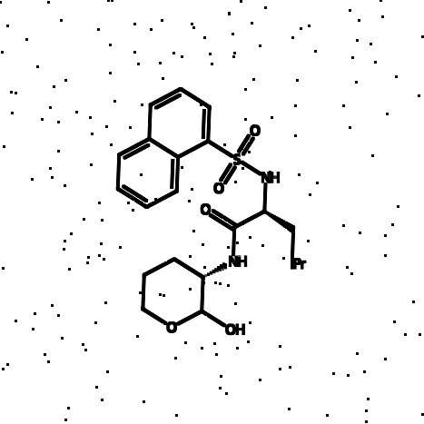 CC(C)C[C@H](NS(=O)(=O)c1cccc2ccccc12)C(=O)N[C@H]1CCCOC1O